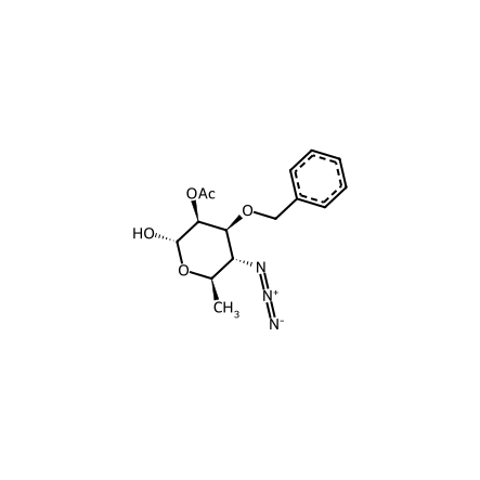 CC(=O)O[C@H]1[C@@H](OCc2ccccc2)[C@H](N=[N+]=[N-])[C@@H](C)O[C@@H]1O